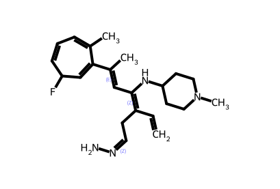 C=C/C(C/C=N\N)=C(/C=C(\C)C1=CC(F)C=CC=C1C)NC1CCN(C)CC1